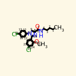 CCCCCNC(=O)c1cn(-c2ccc(Cl)cc2)c(-c2ccc(Cl)cc2OC)n1